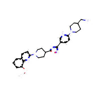 COc1cccc2ccc(N3CCC(c4nc(-c5ccc(N6CCC(CN)CC6)nc5)no4)CC3)nc12